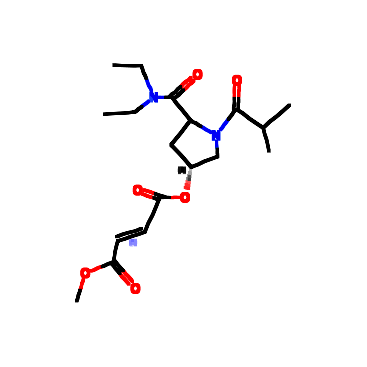 CCN(CC)C(=O)C1C[C@@H](OC(=O)/C=C/C(=O)OC)CN1C(=O)C(C)C